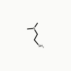 CN(C)CC[SiH3]